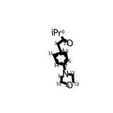 CC(C)C(=O)Cc1ccc(N2CCOCC2)cc1